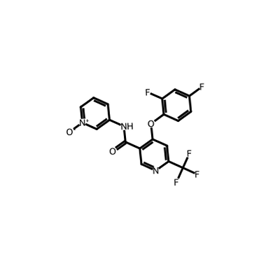 O=C(Nc1ccc[n+]([O-])c1)c1cnc(C(F)(F)F)cc1Oc1ccc(F)cc1F